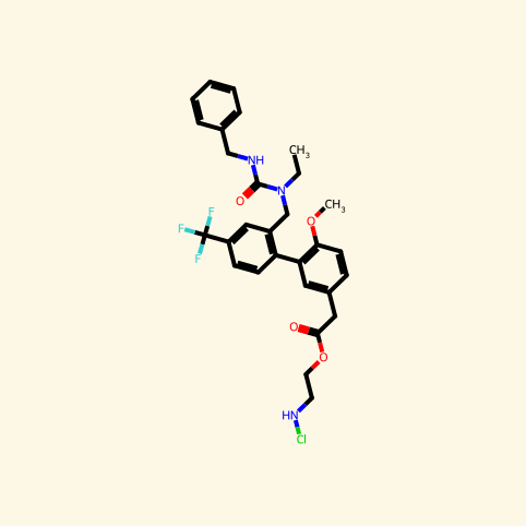 CCN(Cc1cc(C(F)(F)F)ccc1-c1cc(CC(=O)OCCNCl)ccc1OC)C(=O)NCc1ccccc1